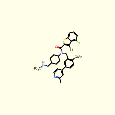 COc1ccc(-c2ccnc(C)c2)cc1CN(C(=O)c1sc2cccc(F)c2c1Cl)C1CCC(CNC(=O)O)CC1